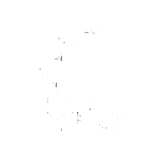 CCc1ccc(N2CCCN([S+]([O-])CCN(C)C)CC2)cc1NC(=O)c1coc(C)n1